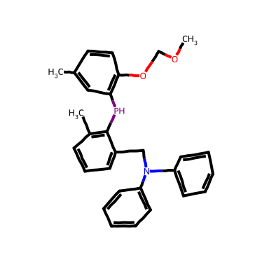 COCOc1ccc(C)cc1Pc1c(C)cccc1CN(c1ccccc1)c1ccccc1